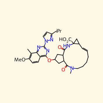 COc1ccc2c(OC3CC4C(=O)NC5(C(=O)O)CC5/C=C/CCCCN(C)C(=O)C4C3)nc(-n3ccc(C(C)C)n3)nc2c1C